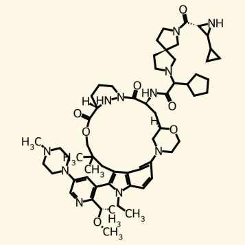 CCn1c(-c2cc(N3CCN(C)CC3)cnc2[C@H](C)OC)c2c3cc(ccc31)N1CCO[C@@H](C[C@H](NC(=O)C(C3CCCC3)N3CC[C@]4(CCN(C(=O)[C@@H]5NC5C5CC5)C4)C3)C(=O)N3CCC[C@H](N3)C(=O)OCC(C)(C)C2)C1